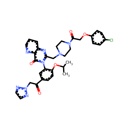 CC(C)Oc1ccc(C(=O)Cn2nccn2)cc1-n1c(CN2CCN(C(=O)COc3ccc(Cl)cc3)CC2)nc2cccnc2c1=O